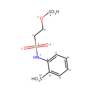 O=S(=O)(CCOS(=O)(=O)O)Nc1ccccc1S(=O)(=O)O